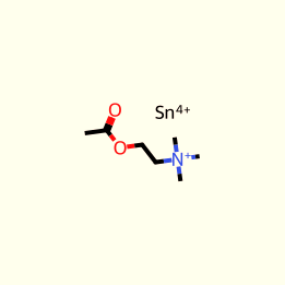 CC(=O)OCC[N+](C)(C)C.[Sn+4]